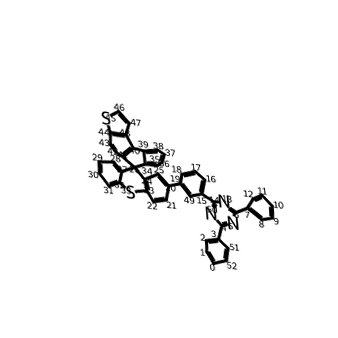 c1ccc(-c2nc(-c3ccccc3)nc(-c3cccc(-c4ccc5c(c4)C4(c6ccccc6S5)c5ccccc5-c5c4ccc4sccc54)c3)n2)cc1